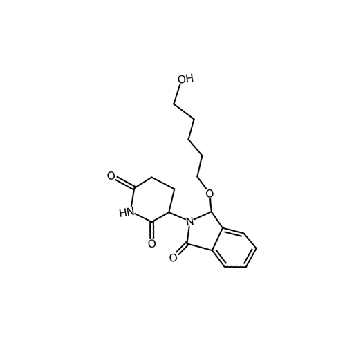 O=C1CCC(N2C(=O)c3ccccc3C2OCCCCCO)C(=O)N1